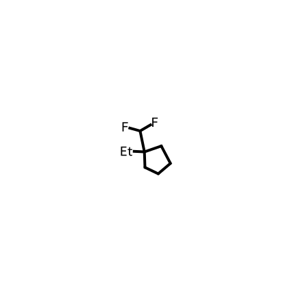 CCC1(C(F)F)CCCC1